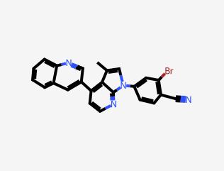 Cc1cn(-c2ccc(C#N)c(Br)c2)c2nccc(-c3cnc4ccccc4c3)c12